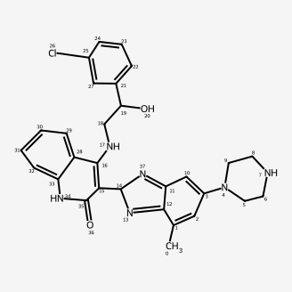 Cc1cc(N2CCNCC2)cc2c1=NC(c1c(NCC(O)c3cccc(Cl)c3)c3ccccc3[nH]c1=O)N=2